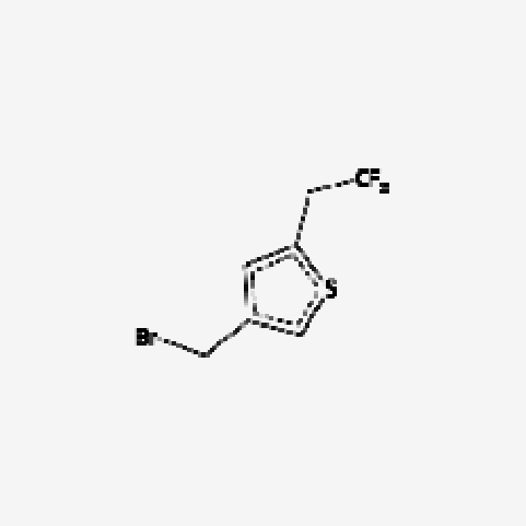 FC(F)(F)Cc1cc(CBr)cs1